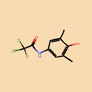 Cc1cc(NC(=O)C(Cl)(Cl)Cl)cc(C)c1O